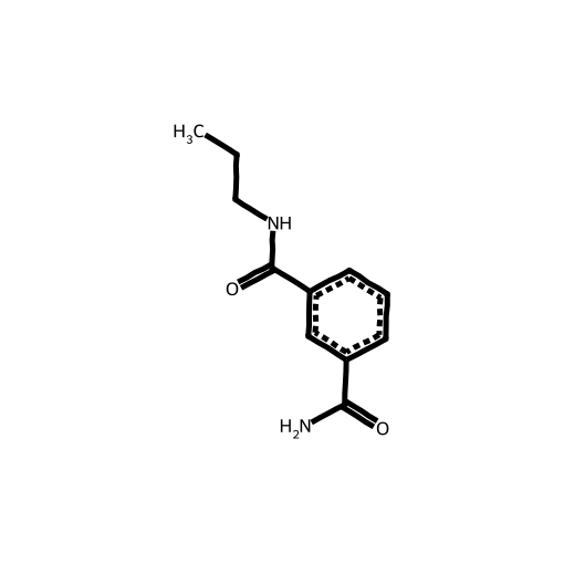 CCCNC(=O)c1cccc(C(N)=O)c1